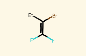 CCC(Br)=C(F)F